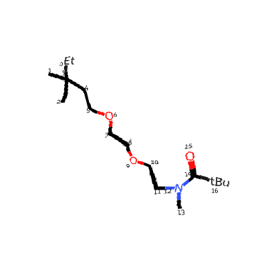 CCC(C)(C)CCOCCOCCN(C)C(=O)C(C)(C)C